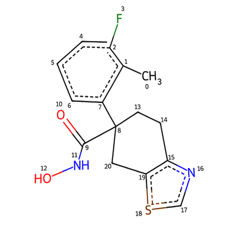 Cc1c(F)cccc1C1(C(=O)NO)CCc2ncsc2C1